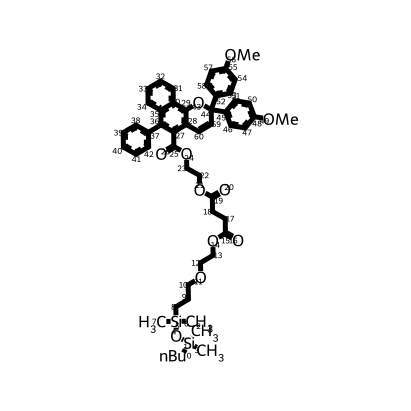 CCCC[Si](C)(C)O[Si](C)(C)CCCOCCOC(=O)CCC(=O)OCCOC(=O)c1c2c(c3ccccc3c1-c1ccccc1)OC(c1ccc(OC)cc1)(c1ccc(OC)cc1)C=C2